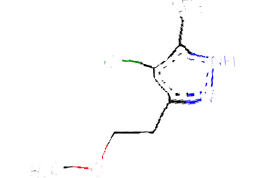 COCCc1n[nH]c(C)c1Cl